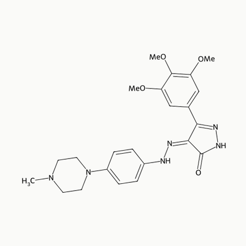 COc1cc(C2=NNC(=O)C2=NNc2ccc(N3CCN(C)CC3)cc2)cc(OC)c1OC